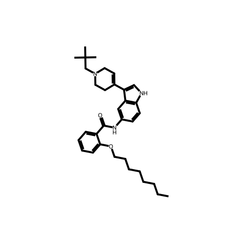 CCCCCCCCOc1ccccc1C(=O)Nc1ccc2[nH]cc(C3=CCN(CC(C)(C)C)CC3)c2c1